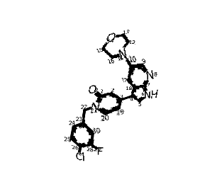 O=c1cc(-c2c[nH]c3ncc(N4CCOCC4)cc23)ccn1Cc1ccc(Cl)c(F)c1